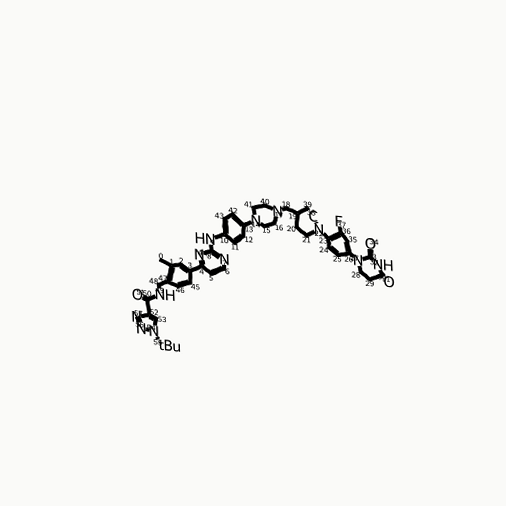 Cc1cc(-c2ccnc(Nc3ccc(N4CCN(CC5CCN(c6ccc(N7CCC(=O)NC7=O)cc6F)CC5)CC4)cc3)n2)ccc1CNC(=O)c1cn(C(C)(C)C)nn1